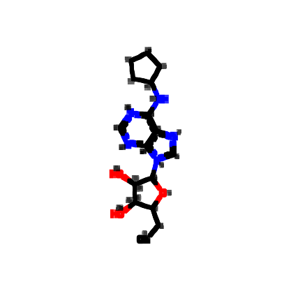 O=NCC1OC(n2cnc3c(NC4CCCC4)ncnc32)[C@H](O)[C@@H]1O